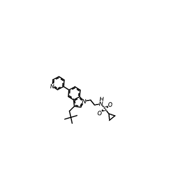 CC(C)(C)Cc1cn(CCNS(=O)(=O)C2CC2)c2ccc(-c3cccnc3)cc12